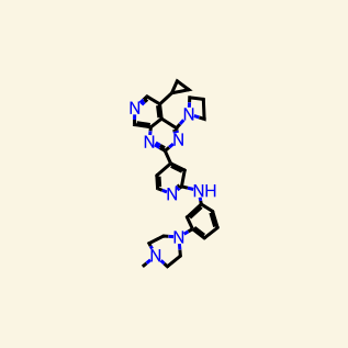 CN1CCN(c2cccc(Nc3cc(-c4nc(N5CCC5)c5c(C6CC6)cncc5n4)ccn3)c2)CC1